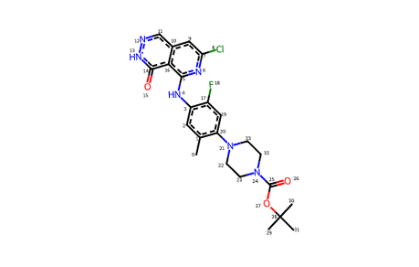 Cc1cc(Nc2nc(Cl)cc3cn[nH]c(=O)c23)c(F)cc1N1CCN(C(=O)OC(C)(C)C)CC1